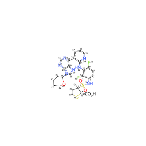 CC1(S(=O)(=O)Nc2ccc(F)c(Nc3ncccc3-c3ncnc4c3ncn4C3CCCCO3)c2F)C=CSC1C(=O)O